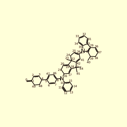 C=C1C=CC(c2ccc(N(c3c#cccc3)C3C=C4C(=CC3)C3(C)CC=C(n5c6c(c7ccccc75)C=CCC6C)C=C3C4(C)C)cc2)CC1